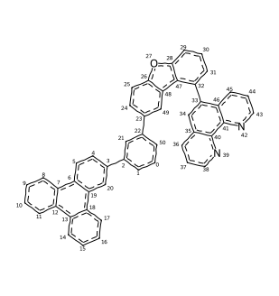 c1cc(-c2ccc3c4ccccc4c4ccccc4c3c2)cc(-c2ccc3oc4cccc(-c5cc6cccnc6c6ncccc56)c4c3c2)c1